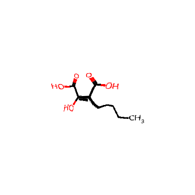 CCCC/C(C(=O)O)=C(\O)C(=O)O